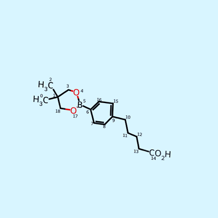 CC1(C)COB(c2ccc(CCCCC(=O)O)cc2)OC1